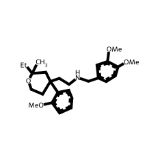 CCC1(C)CC(CCNCc2ccc(OC)c(OC)c2)(c2ccccc2OC)CCO1